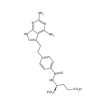 CCOC(=O)CC[C@H](NC(=O)c1ccc(CCc2c[nH]c3nc(N)nc(N)c23)cc1)C(=O)OCC